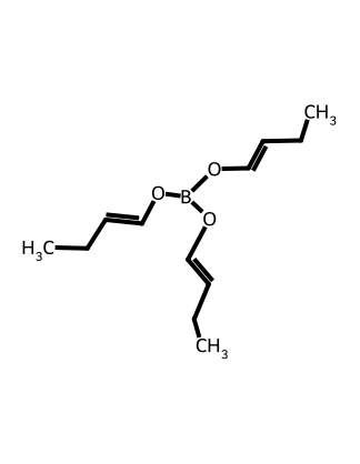 CCC=COB(OC=CCC)OC=CCC